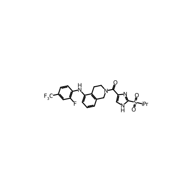 CC(C)S(=O)(=O)c1nc(C(=O)N2CCc3c(cccc3Nc3ccc(C(F)(F)F)cc3F)C2)c[nH]1